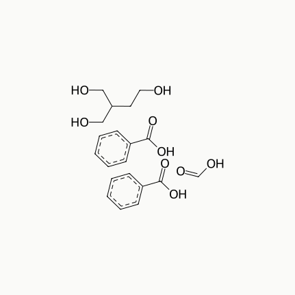 O=C(O)c1ccccc1.O=C(O)c1ccccc1.O=CO.OCCC(CO)CO